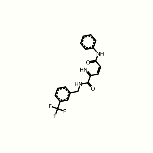 N=C(/C=C\C(=O)Nc1ccccc1)C(=O)NCc1cccc(C(F)(F)F)c1